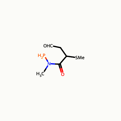 CSC(CC=O)C(=O)N(C)P